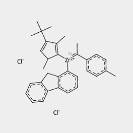 CC1=[C](/[Zr+2](=[C](\C)c2ccc(C)cc2)[c]2cccc3c2Cc2ccccc2-3)C(C)C=C1C(C)(C)C.[Cl-].[Cl-]